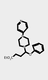 CCOC(=O)CCC(Oc1ccccc1)N1CCN(c2ccncc2)CC1